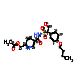 CCCCOc1ccc(C(C=O)S(=O)(=O)NC(=O)c2ccc(COC(C)=O)nc2)cc1